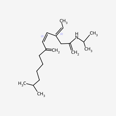 C=C(/C=C\C(=C/C)CC(=C)NC(C)C)CCCCC(C)C